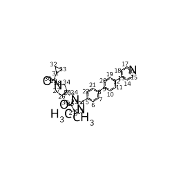 CC1(C)N=C(c2ccc(-c3ccc(-c4ccncc4)cc3)cc2)N(C[C@@H]2CCN(C(=O)C3CC3)C2)C1=O